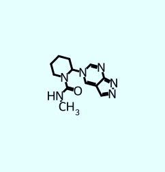 CNC(=O)N1CCCCC1n1cnc2nncc-2c1